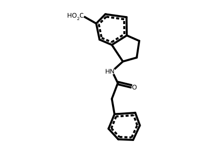 O=C(Cc1ccccc1)NC1CCc2ccc(C(=O)O)cc21